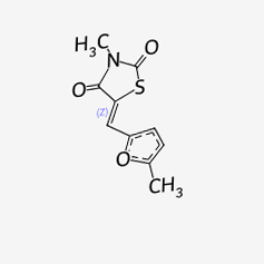 Cc1ccc(/C=C2\SC(=O)N(C)C2=O)o1